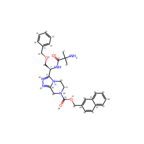 CC(C)(N)C(=O)N[C@H](COCc1ccccc1)c1nnc2n1CCN(C(=O)OCc1ccc3ccccc3c1)C2